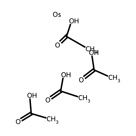 CC(=O)O.CC(=O)O.CC(=O)O.CC(=O)O.[Os]